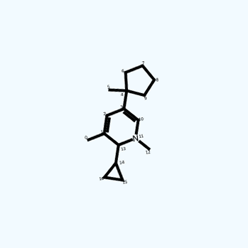 CC1=CC(C2(C)CCCC2)=CN(C)C1C1CC1